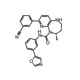 C[C@@H]1CCNc2ccc(-c3cccc(C#N)c3)nc2N1C(=O)Nc1cccc(-c2cnco2)c1